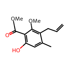 C=CCc1c(C)cc(O)c(C(=O)OC)c1OC